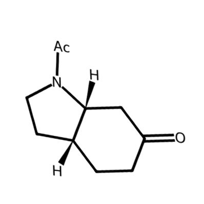 CC(=O)N1CC[C@H]2CCC(=O)C[C@H]21